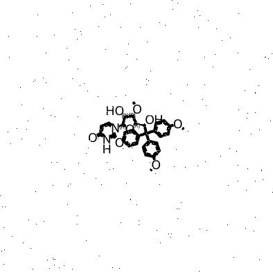 COc1ccc(C(c2ccccc2)(c2ccc(OC)cc2)C(O)[C@H]2O[C@@H](n3ccc(=O)[nH]c3=O)[C@H](O)[C@@H]2OC)cc1